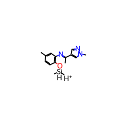 CC(=Nc1cc(C)ccc1O[SiH](C)C)c1cnn(C)c1.[H+]